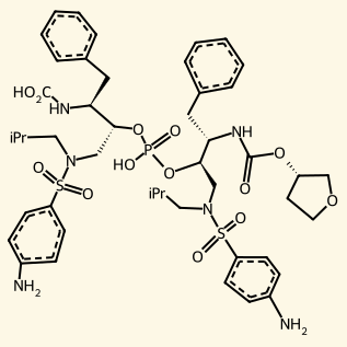 CC(C)CN(C[C@@H](OP(=O)(O)O[C@H](CN(CC(C)C)S(=O)(=O)c1ccc(N)cc1)[C@H](Cc1ccccc1)NC(=O)O[C@H]1CCOC1)[C@H](Cc1ccccc1)NC(=O)O)S(=O)(=O)c1ccc(N)cc1